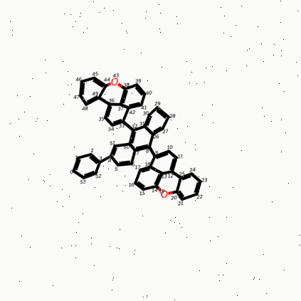 c1ccc(-c2ccc3c(-c4ccc5c6c(cccc46)Oc4ccccc4-5)c4ccccc4c(-c4ccc5c6c(cccc46)Oc4ccccc4-5)c3c2)cc1